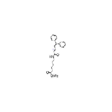 COC(=O)CCCCCNC(=O)/C=C/C=C(c1ccccc1)c1ccccc1